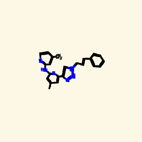 Cc1cc(Nc2cc(C(F)(F)F)ccn2)nc(-c2cn(C/C=C/c3ccccc3)nn2)c1